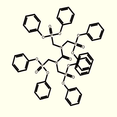 O=C(N(CP(=O)(Oc1ccccc1)Oc1ccccc1)CP(=O)(Oc1ccccc1)Oc1ccccc1)N(CP(=O)(Oc1ccccc1)Oc1ccccc1)CP(=O)(Oc1ccccc1)Oc1ccccc1